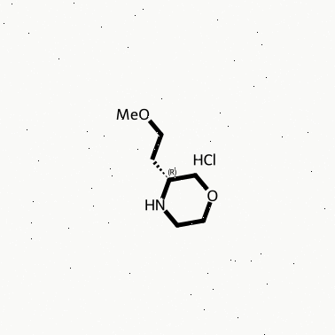 COCC[C@@H]1COCCN1.Cl